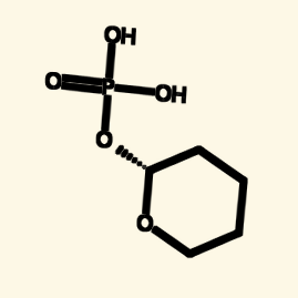 O=P(O)(O)O[C@@H]1CCCCO1